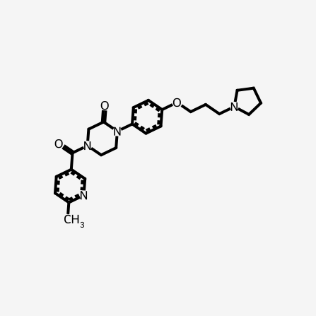 Cc1ccc(C(=O)N2CCN(c3ccc(OCCCN4CCCC4)cc3)C(=O)C2)cn1